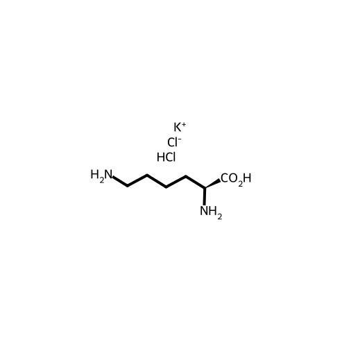 Cl.NCCCC[C@H](N)C(=O)O.[Cl-].[K+]